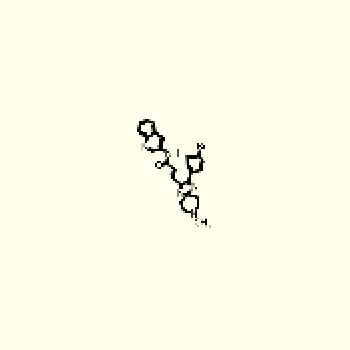 CN1CCC2(CC1)N=C(/C=C/C(=O)Nc1cnc3ccccc3c1)C(c1ccc(Br)cc1)=N2